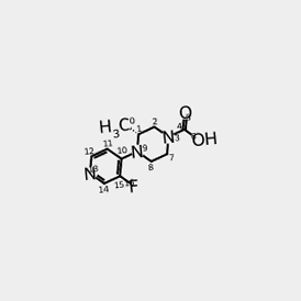 C[C@@H]1CN(C(=O)O)CCN1c1ccncc1F